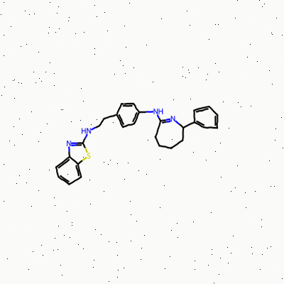 c1ccc(C2CCCCC(Nc3ccc(CCNc4nc5ccccc5s4)cc3)=N2)cc1